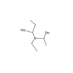 CCC(O)N(CC)C(C)O